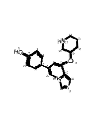 Oc1ccc(-c2cc(OC3CCCNC3)c3cncn3c2)cc1